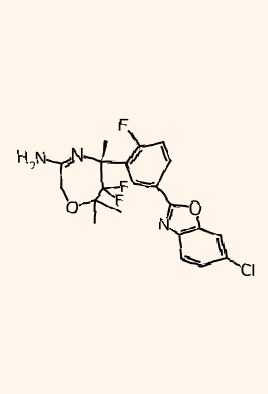 CC1(C)OCC(N)=N[C@](C)(c2cc(-c3nc4ccc(Cl)cc4o3)ccc2F)C1(F)F